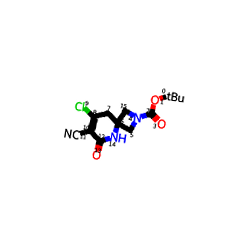 CC(C)(C)OC(=O)N1CC2(CC(Cl)=C(C#N)C(=O)N2)C1